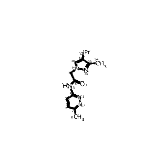 Cc1ccc(NC(=O)Cn2cc(C(C)C)c(C)n2)nn1